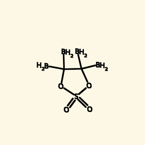 BC1(B)OS(=O)(=O)OC1(B)B